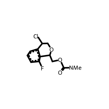 CNC(=O)OCC1OCC(Cl)c2cccc(F)c21